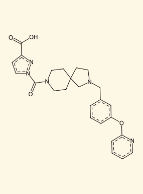 O=C(O)c1ccn(C(=O)N2CCC3(CCN(Cc4cccc(Oc5ccccn5)c4)C3)CC2)n1